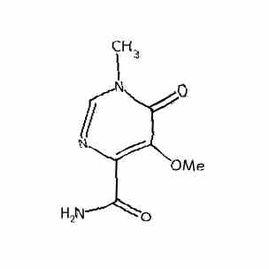 COc1c(C(N)=O)ncn(C)c1=O